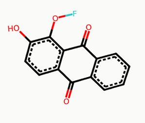 O=C1c2ccccc2C(=O)c2c1ccc(O)c2OF